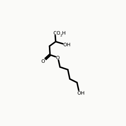 O=C(CC(O)C(=O)O)OCCCCO